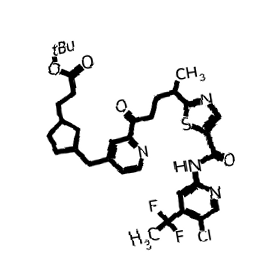 CC(CCC(=O)c1cc(CC2CCC(CCC(=O)OC(C)(C)C)C2)ccn1)c1ncc(C(=O)Nc2cc(C(C)(F)F)c(Cl)cn2)s1